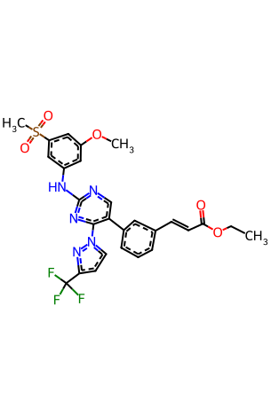 CCOC(=O)/C=C/c1cccc(-c2cnc(Nc3cc(OC)cc(S(C)(=O)=O)c3)nc2-n2ccc(C(F)(F)F)n2)c1